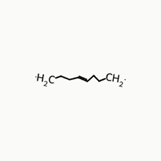 [CH2]CCC=CCC[CH2]